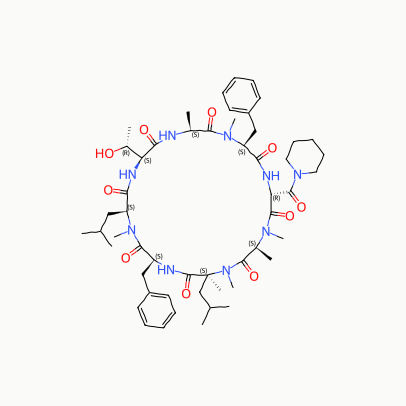 CC(C)C[C@H]1C(=O)N[C@@H]([C@@H](C)O)C(=O)N[C@@H](C)C(=O)N(C)[C@@H](Cc2ccccc2)C(=O)N[C@H](C(=O)N2CCCCC2)C(=O)N(C)[C@@H](C)C(=O)N(C)[C@@](C)(CC(C)C)C(=O)N[C@@H](Cc2ccccc2)C(=O)N1C